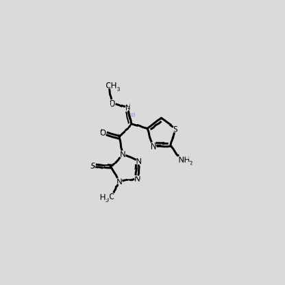 CO/N=C(\C(=O)n1nnn(C)c1=S)c1csc(N)n1